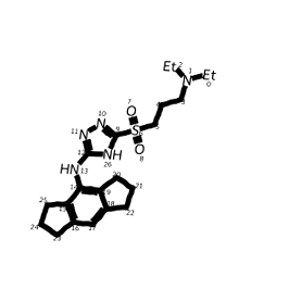 CCN(CC)CCCS(=O)(=O)c1nnc(Nc2c3c(cc4c2CCC4)CCC3)[nH]1